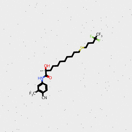 C[C@](O)(CCCCCCCCCSCCCC(F)(F)C(F)(F)F)C(=O)Nc1ccc(C#N)c(C(F)(F)F)c1